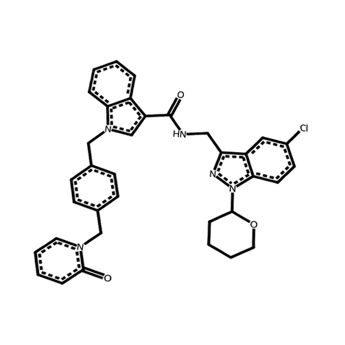 O=C(NCc1nn(C2CCCCO2)c2ccc(Cl)cc12)c1cn(Cc2ccc(Cn3ccccc3=O)cc2)c2ccccc12